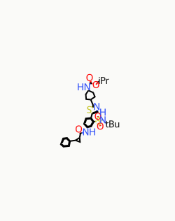 CC(C)OC(=O)NC1CCC(c2ncc(-c3ccc(NC(=O)C4CC4c4ccccc4)cc3S(=O)(=O)NC(C)(C)C)s2)CC1